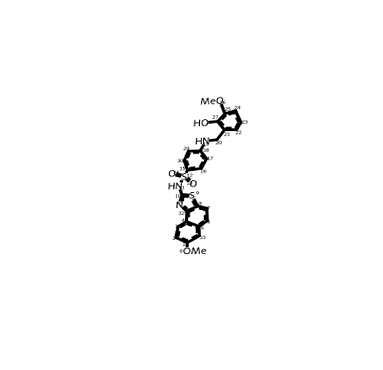 COc1ccc2c(ccc3sc(NS(=O)(=O)c4ccc(NCc5cccc(OC)c5O)cc4)nc32)c1